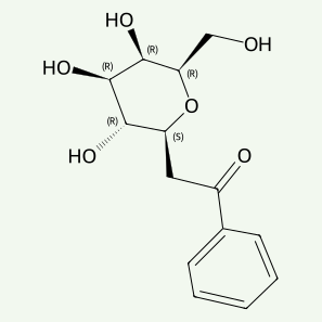 O=C(C[C@@H]1O[C@H](CO)[C@H](O)[C@H](O)[C@H]1O)c1ccccc1